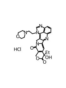 CC[C@@]1(O)C(=O)OCc2c1cc1n(c2=O)Cc2c-1nc1cccc3c1c2N(CCN1CCOCC1)C=N3.Cl